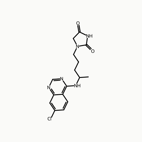 CC(CCCN1CC(=O)NC1=O)Nc1ncnc2cc(Cl)ccc12